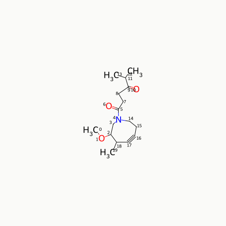 COC1CN(C(=O)CCC(=O)C(C)C)CCC#CC1C